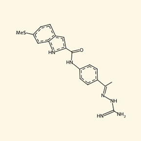 CSc1ccc2cc(C(=O)Nc3ccc(/C(C)=N/NC(=N)N)cc3)[nH]c2c1